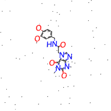 COc1ccc(CNC(=O)Cn2cnc3c2c(=O)n(C)c(=O)n3C)cc1OC